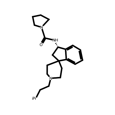 CC(C)CCN1CCC2(CC1)C[C@H](NC(=O)N1CCCC1)c1ccccc12